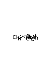 O=C1COC2(CCN(S(=O)(=O)c3ccc(-c4ccc5cc(Cl)cnc5c4)cc3)CC2)CN1C1CC1